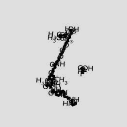 Cc1cc(OCCCC(=O)NCCCOCCOCCOCCCCC(CS(=O)(=O)O)NC(=O)OC(C)(C)C)cc(C)c1S(=O)(=O)NC(CNC(=O)c1ccc2c(cnn2CCCNc2ncc[nH]2)c1)C(=O)O.O=C(O)C(F)(F)F